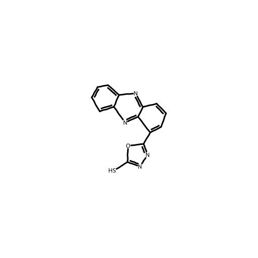 Sc1nnc(-c2cccc3nc4ccccc4nc23)o1